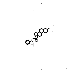 CC1CCC2C(CCC3C2CCC2(C)C3CC[C@@H]2C(=O)CNc2ccccc2)C1